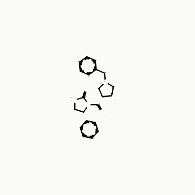 C[C@H]1CN(Cc2ccccc2)C[C@H]1C(=O)N1C(=O)OC[C@H]1c1ccccc1